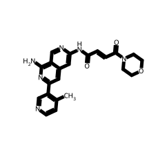 Cc1ccncc1-c1cc2cc(NC(=O)/C=C/C(=O)N3CCOCC3)ncc2c(N)n1